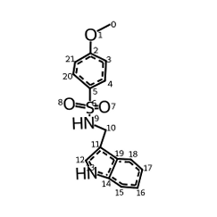 COc1ccc(S(=O)(=O)NCc2c[nH]c3ccccc23)cc1